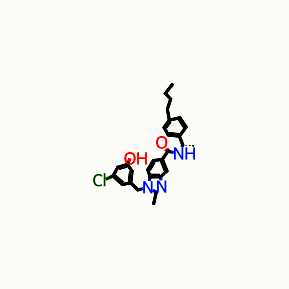 CCCCc1ccc([C@H](C)NC(=O)c2ccc3c(c2)nc(C)n3Cc2cc(O)cc(Cl)c2)cc1